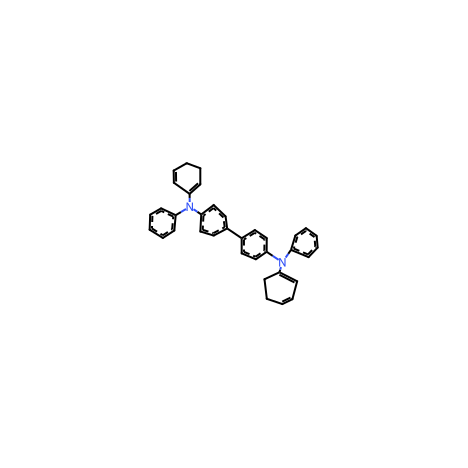 C1=CCCC(N(c2ccccc2)c2ccc(-c3ccc(N(C4=CCCC=C4)c4ccccc4)cc3)cc2)=C1